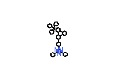 c1ccc(-c2nc(-c3ccccc3)nc(-c3ccc(-c4ccc5c(c4)c4ccccc4c4ccc([Si](c6ccccc6)(c6ccccc6)c6ccccc6)cc45)cc3)n2)cc1